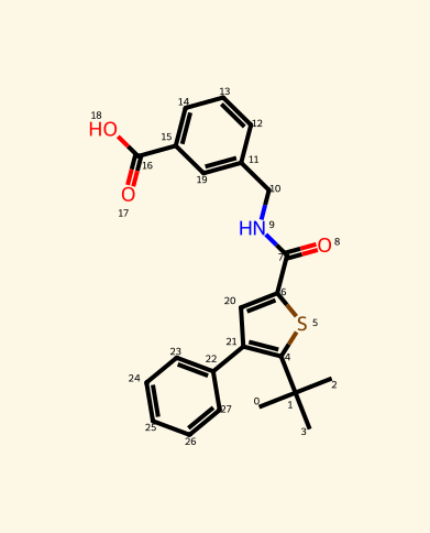 CC(C)(C)c1sc(C(=O)NCc2cccc(C(=O)O)c2)cc1-c1ccccc1